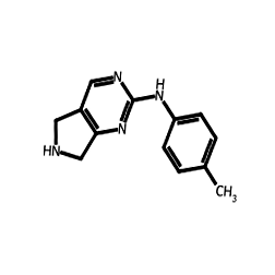 Cc1ccc(Nc2ncc3c(n2)CNC3)cc1